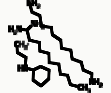 CCCCCCCCCCC(N)N.NCCCCCCCCCCCCN.[CH2]CCNC1CCCCC1